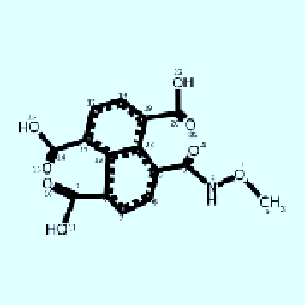 CONC(=O)c1ccc(C(=O)O)c2c(C(=O)O)ccc(C(=O)O)c12